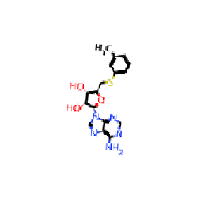 Cc1cccc(SC[C@H]2O[C@@H](n3cnc4c(N)ncnc43)[C@H](O)[C@@H]2O)c1